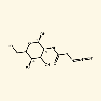 [N-]=[N+]=NCC(=O)N[C@H]1C(O)[C@@H](O)C(CO)O[C@H]1O